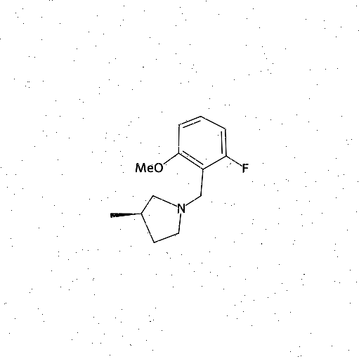 COc1cccc(F)c1CN1CC[C@@H](C)C1